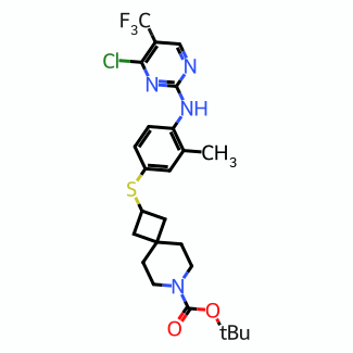 Cc1cc(SC2CC3(CCN(C(=O)OC(C)(C)C)CC3)C2)ccc1Nc1ncc(C(F)(F)F)c(Cl)n1